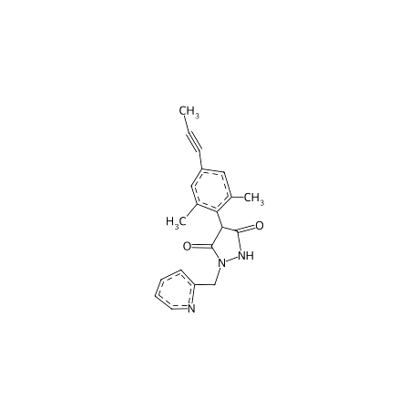 CC#Cc1cc(C)c(C2C(=O)NN(Cc3ccccn3)C2=O)c(C)c1